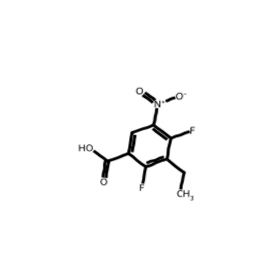 CCc1c(F)c(C(=O)O)cc([N+](=O)[O-])c1F